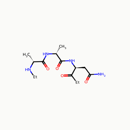 CCN[C@H](C)C(=O)N[C@H](C)C(=O)N[C@@H](CC(N)=O)C(=O)CC